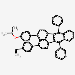 C=Cc1ccc(-c2ccc3c4c(ccc(-c5ccc(OC(C)C)cc5)c24)-c2c-3c(-c3ccccc3)c3ccccc3c2-c2ccccc2)cc1